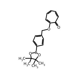 CC1(C)OB(c2ccc(COc3cccccc3=O)cc2)OC1(C)C